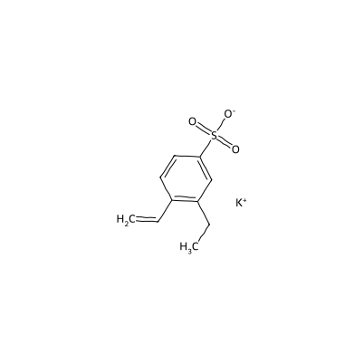 C=Cc1ccc(S(=O)(=O)[O-])cc1CC.[K+]